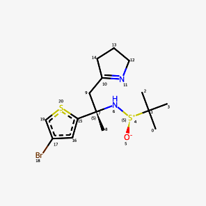 CC(C)(C)[S@@+]([O-])N[C@@](C)(CC1=NCCC1)c1cc(Br)cs1